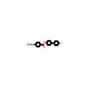 CCCCCCc1ccc(C(=O)Oc2ccc(-c3ccc(F)cc3)cc2)cc1